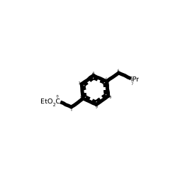 CCOC(=O)Cc1ccc(CC(C)C)cc1